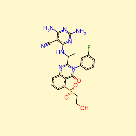 CC(Nc1nc(N)nc(N)c1C#N)c1nc2cccc(S(=O)(=O)CCO)c2c(=O)n1-c1cccc(F)c1